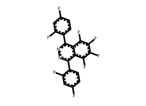 Fc1ccc(-c2nnc(-c3ccc(F)cc3F)c3c(F)c(F)c(F)c(F)c23)c(F)c1